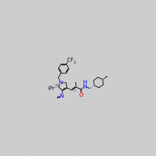 C=NC1=C(/C=C(\C)C(=O)NC[C@H]2CC[C@H](C)CC2)CN(Cc2ccc(C(F)(F)F)cc2)[C@H]1C(C)C